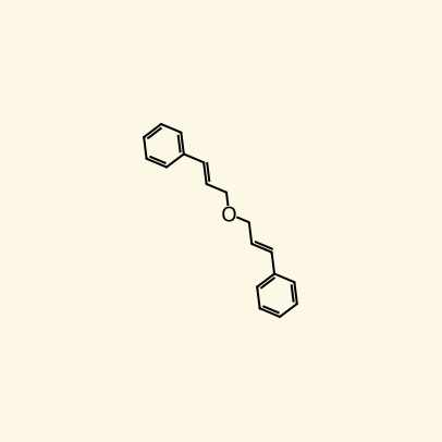 C(=Cc1ccccc1)COCC=Cc1ccccc1